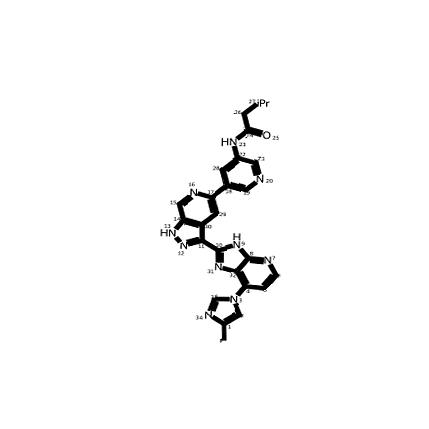 Cc1cn(-c2ccnc3[nH]c(-c4n[nH]c5cnc(-c6cncc(NC(=O)CC(C)C)c6)cc45)nc23)cn1